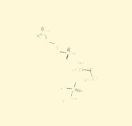 N.N.NC(N)=O.O=P(O)(O)O.O=S(=O)([O-])SSSS(=O)(=O)O.[K+]